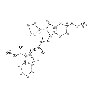 CC(C)(C)OC(=O)c1c(NC(=O)NCC2C3=C(CN(CCC(F)(F)F)CC3)SC2N2C=CCC2)sc2c1CCCC2